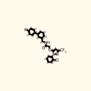 O=C(COc1cc(C(F)(F)F)nn1-c1ccccc1Cl)NCc1cccc(-c2ccc(F)cc2)c1